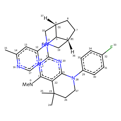 CNc1nc(NC2[C@@H]3CC[C@H]2CN(c2cc(C)ncn2)C3)nc2c1C(C)(C)CCN2c1ccc(F)cc1